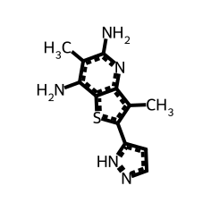 Cc1c(N)nc2c(C)c(-c3ccn[nH]3)sc2c1N